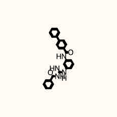 N=C(NC(=O)c1ccccc1)Nc1cccc(NC(=O)c2ccc(-c3ccccc3)cc2)c1